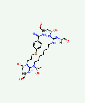 CB(O)N/C(=N/BC=O)NCCCCCCCN(B(C)O)/C(=N/BC=O)N(CCCSc1ccc(C(=N)NBC=O)cc1)B(C)O